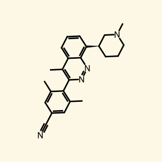 Cc1cc(C#N)cc(C)c1-c1nnc2c([C@@H]3CCCN(C)C3)cccc2c1C